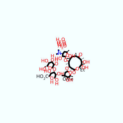 CC[C@H]1OC(=O)[C@H](C)[C@@H](O[C@H]2C[C@@](C)(OC)[C@@H](O)[C@H](C)O2)[C@H](C)[C@@H](O[C@@H]2O[C@H](C)C[C@H](N(C)C)[C@H]2O)[C@](C)(O)C[C@@H](C)C(=O)[C@H](C)[C@@H](O)[C@]1(C)O.O.O.O.O.O=C(O)[C@H](O)[C@@H](O)[C@H](O[C@@H]1O[C@H](CO)[C@H](O)[C@H](O)[C@H]1O)[C@H](O)CO